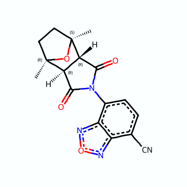 C[C@]12CC[C@](C)(O1)[C@@H]1C(=O)N(c3ccc(C#N)c4nonc34)C(=O)[C@H]12